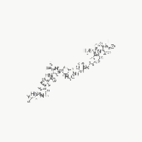 CN(C[C@@H]1CN(CCCc2ccc3c(c2)n(C)c(=O)n3C2CCC(=O)NC2=O)CCO1)C[C@H]1CC[C@@H](n2cc(NC(=O)c3coc(-c4ccnc(NCC5CC5)c4)n3)c(C(F)F)n2)CC1